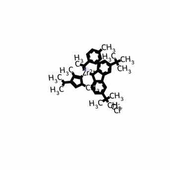 CC1=[C](/[Zr+2](=[C](\C)c2ccc(C)cc2)[CH]2c3ccc(C(C)(C)C)cc3-c3cc(C(C)(C)C)ccc32)C(C)C=C1C(C)C.[Cl-].[Cl-]